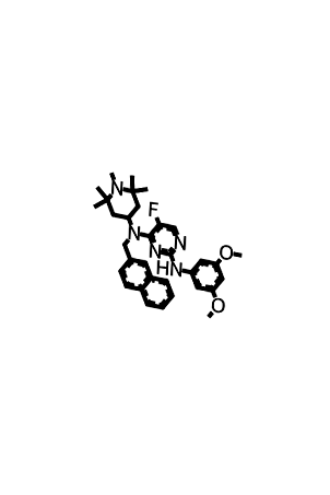 COc1cc(Nc2ncc(F)c(N(Cc3ccc4ccccc4c3)C3CC(C)(C)N(C)C(C)(C)C3)n2)cc(OC)c1